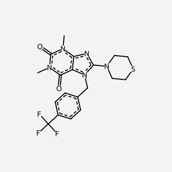 Cn1c(=O)c2c(nc(N3CCSCC3)n2Cc2ccc(C(F)(F)F)cc2)n(C)c1=O